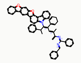 C=C(/N=C(\N=C\c1ccccc1)c1ccccc1)/C(C)=C/C(C1=CCCC=C1)=C(\C(C)c1ccccc1)n1c2ccccc2c2c3oc4cc5oc6ccccc6c5cc4c3ccc21